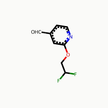 O=Cc1ccnc(OCC(F)F)c1